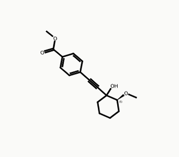 COC(=O)c1ccc(C#CC2(O)CCCC[C@@H]2OC)cc1